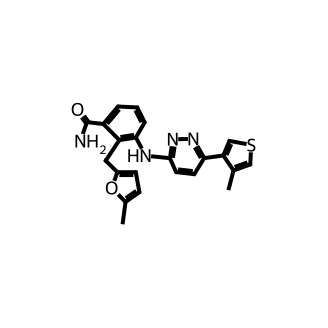 Cc1ccc(Cc2c(Nc3ccc(-c4cscc4C)nn3)cccc2C(N)=O)o1